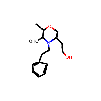 CC1OCC(CCO)N(CCc2ccccc2)C1C=O